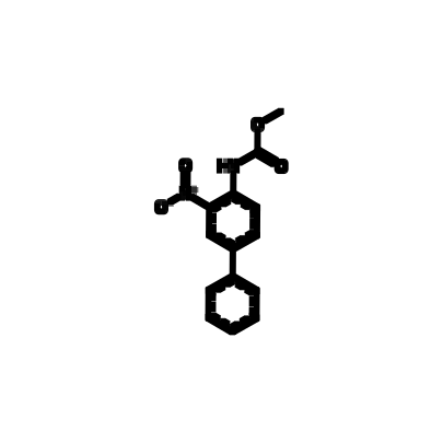 COC(=O)Nc1ccc(-c2ccccc2)cc1[N+](=O)[O-]